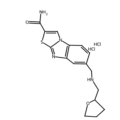 Cl.Cl.NC(=O)c1cn2c(nc3cc(CNCC4CCCO4)ccc32)s1